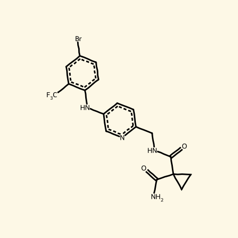 NC(=O)C1(C(=O)NCc2ccc(Nc3ccc(Br)cc3C(F)(F)F)cn2)CC1